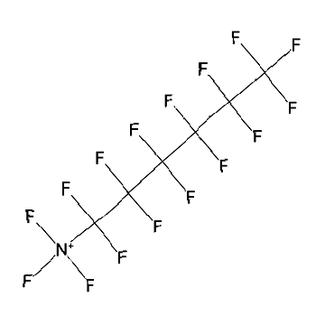 FC(F)(F)C(F)(F)C(F)(F)C(F)(F)C(F)(F)C(F)(F)[N+](F)(F)F